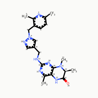 Cc1nc(C(F)(F)F)ccc1Cn1cc(CNc2nc(C)c3c(n2)N(C)[C@@H](C)C(=O)N3)cn1